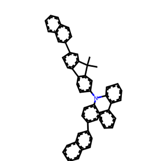 CC1(C)c2cc(-c3ccc4ccccc4c3)ccc2-c2ccc(N(c3ccc(-c4ccc5ccccc5c4)cc3)c3ccccc3-c3ccccc3)cc21